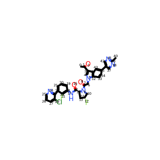 CC(=O)c1cn(CC(=O)N2C[C@H](F)C[C@H]2C(=O)Nc2cccc(-c3ncccc3Cl)c2F)c2ccc(-c3cnc(C)nc3)cc12